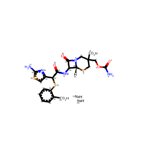 NC(=O)OCC1(C(=O)O)CS[C@@H]2C(NC(=O)C(Sc3ccccc3C(=O)O)c3csc(N)n3)C(=O)N2C1.[NaH].[NaH]